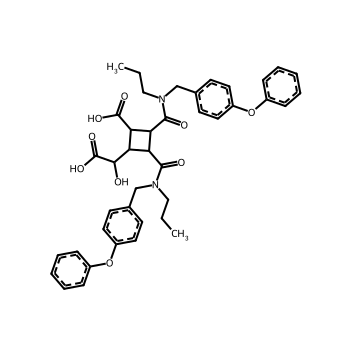 CCCN(Cc1ccc(Oc2ccccc2)cc1)C(=O)C1C(C(=O)O)C(C(O)C(=O)O)C1C(=O)N(CCC)Cc1ccc(Oc2ccccc2)cc1